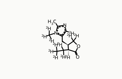 [2H]c1nc(C)n(C([2H])([2H])[2H])c1C[C@H]1C([2H])([2H])OC(=O)[C@@]1([2H])C([2H])([2H])C([2H])([2H])[2H]